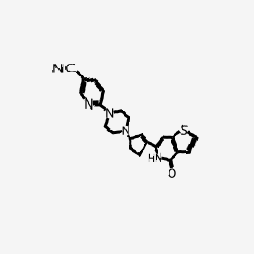 N#Cc1ccc(N2CCN([C@H]3C=C(c4cc5sccc5c(=O)[nH]4)CC3)CC2)nc1